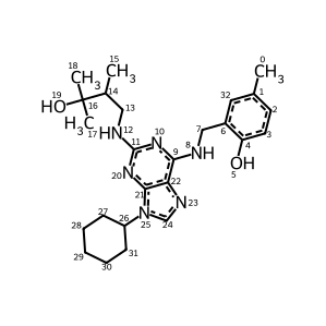 Cc1ccc(O)c(CNc2nc(NCC(C)C(C)(C)O)nc3c2ncn3C2CCCCC2)c1